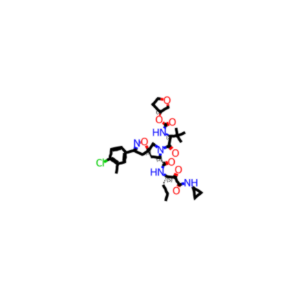 CCC[C@H](NC(=O)[C@@H]1C[C@]2(CC(c3ccc(Cl)c(C)c3)=NO2)CN1C(=O)[C@@H](NC(=O)O[C@H]1CCOC1)C(C)(C)C)C(=O)C(=O)NC1CC1